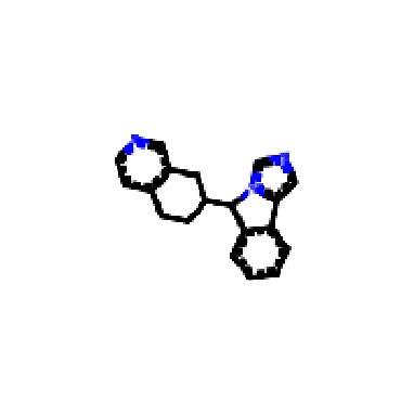 c1ccc2c(c1)-c1cncn1C2C1CCc2ccncc2C1